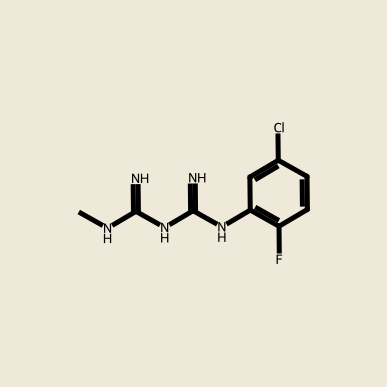 CNC(=N)NC(=N)Nc1cc(Cl)ccc1F